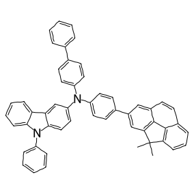 CC1(C)c2cccc3ccc4cc(-c5ccc(N(c6ccc(-c7ccccc7)cc6)c6ccc7c(c6)c6ccccc6n7-c6ccccc6)cc5)cc1c4c23